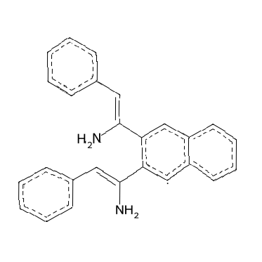 NC(=Cc1ccccc1)c1[c]c2ccccc2cc1C(N)=Cc1ccccc1